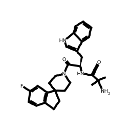 CC(C)(N)C(=O)N[C@H](Cc1c[nH]c2ccccc12)C(=O)N1CCC2(CCc3ccc(F)cc32)CC1